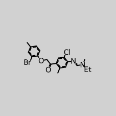 CCN(C)C=Nc1cc(C)c(C(=O)COc2ccc(C)cc2Br)cc1Cl